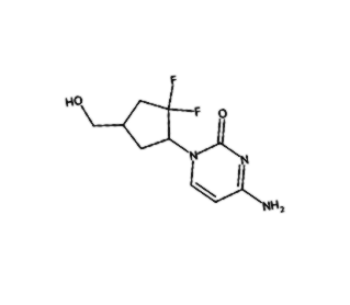 Nc1ccn(C2CC(CO)CC2(F)F)c(=O)n1